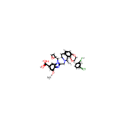 COc1cc(C(=O)O)cc2c1nc(CN1CCc3ccc4c(c3C1C)O[C@@H](c1ccc(Cl)cc1F)CO4)n2C[C@@H]1CCO1